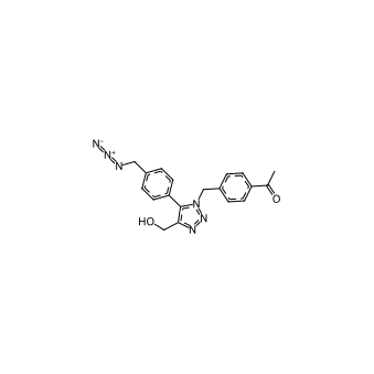 CC(=O)c1ccc(Cn2nnc(CO)c2-c2ccc(CN=[N+]=[N-])cc2)cc1